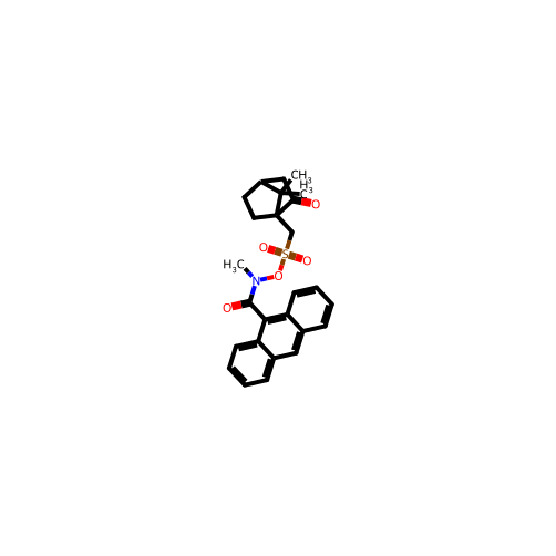 CN(OS(=O)(=O)CC12CCC(CC1=O)C2(C)C)C(=O)c1c2ccccc2cc2ccccc12